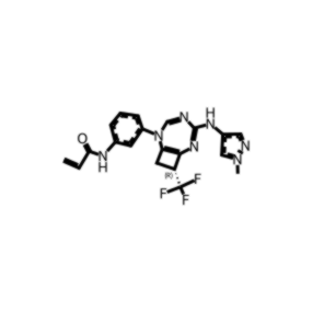 C=CC(=O)Nc1cccc(N2C=NC(Nc3cnn(C)c3)=NC3=C2C[C@H]3C(F)(F)F)c1